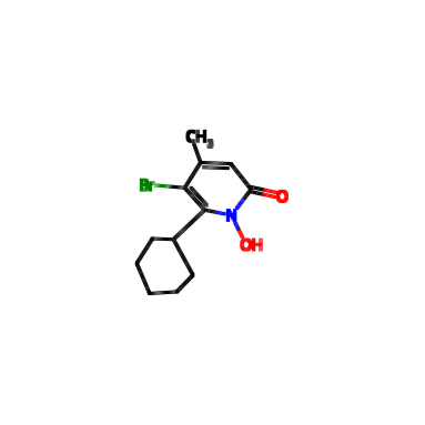 Cc1cc(=O)n(O)c(C2CCCCC2)c1Br